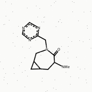 CNC1CC2CC2CN(Cc2ncncn2)C1=O